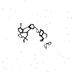 C=CC(C)(C)CC1c2cc(COc3ccc4c(c3)[C@]3(CC4)C[C@H]3C(=O)OCC)ccc2-c2c(F)ccc(OC)c21